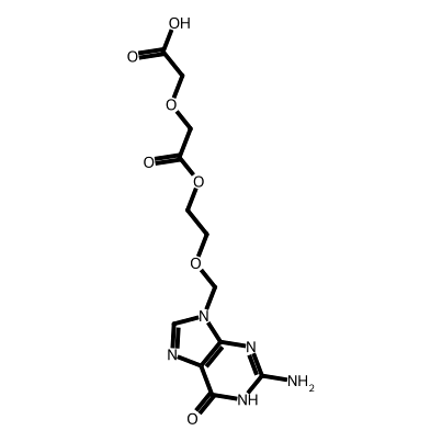 Nc1nc2c(ncn2COCCOC(=O)COCC(=O)O)c(=O)[nH]1